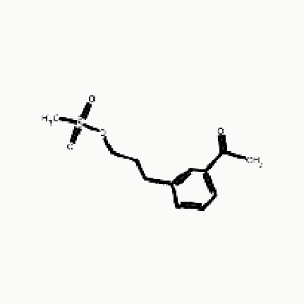 CC(=O)c1cccc(CCCOS(C)(=O)=O)c1